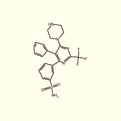 NS(=O)(=O)c1cccc(-c2nc(C(F)(F)F)nc(N3CCNCC3)c2-c2ccccc2)c1